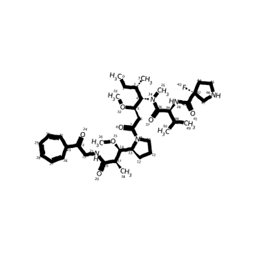 CC[C@H](C)[C@@H]([C@@H](CC(=O)N1CCC[C@H]1[C@H](OC)[C@@H](C)C(=O)NCC(=O)C1C=CC=CC=C1)OC)N(C)C(=O)[C@@H](NC(=O)[C@@]1(F)CCNC1)C(C)C